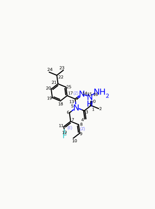 C=C(C)C(=C)N(CC(/C=C\C)=C/F)/C(=N\NN)c1cccc(C(C)C)c1